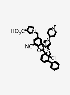 CN1CCC(n2cnc(SC3(c4nc5cc(CN6CC[C@@H](C(=O)O)C6)cc(C#N)c5o4)C=CC=C(c4ccccc4)C3(C)Cl)c2)CC1